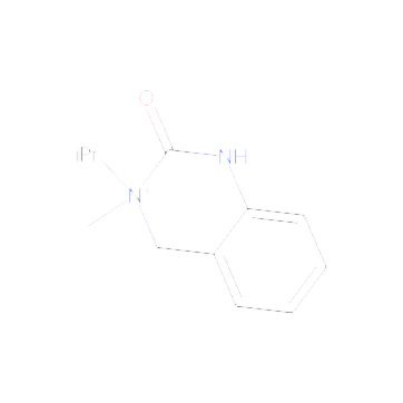 CC(C)[N+]1(C)Cc2ccccc2NC1=O